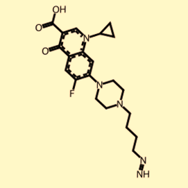 N=NCCCCN1CCN(c2cc3c(cc2F)c(=O)c(C(=O)O)cn3C2CC2)CC1